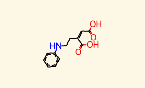 O=C(O)C=C(CCNc1ccccc1)C(=O)O